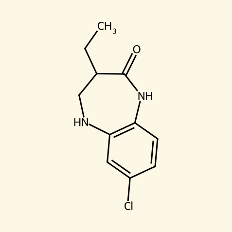 CCC1CNc2cc(Cl)ccc2NC1=O